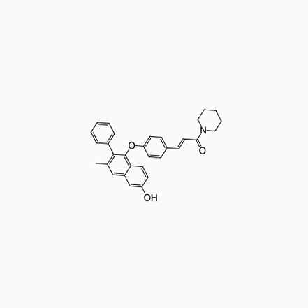 Cc1cc2cc(O)ccc2c(Oc2ccc(/C=C/C(=O)N3CCCCC3)cc2)c1-c1ccccc1